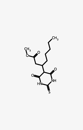 CCCCCC(CC(=O)OC)C1C(=O)NC(=S)NC1=O